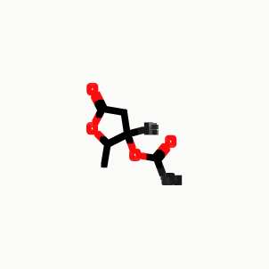 CCC1(OC(=O)C(C)(C)C)CC(=O)OC1C